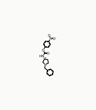 O=C(N[C@@H]1CCN(Cc2ccccc2)C1)Oc1ccc([N+](=O)[O-])cc1